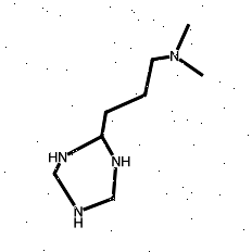 CN(C)CCCC1NCNCN1